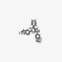 c1cc2cc(-c3nc(N4CC5CCC(C4)O5)c4cnn(C5CCC6(CC5)OCCO6)c4n3)ccc2[nH]1